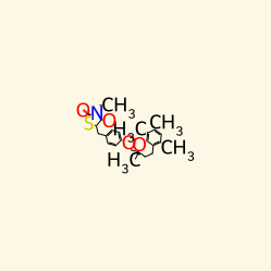 CCN1C(=O)SC(Cc2ccc(OCC3(C)CCc4c(C)cc(C)c(C)c4O3)cc2)C1=O